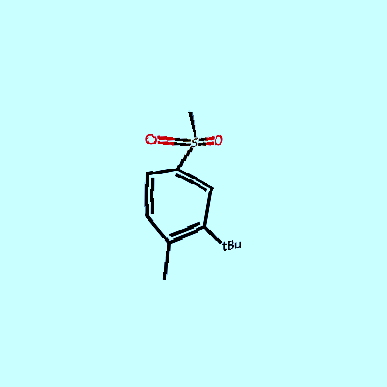 Cc1ccc(S(C)(=O)=O)cc1C(C)(C)C